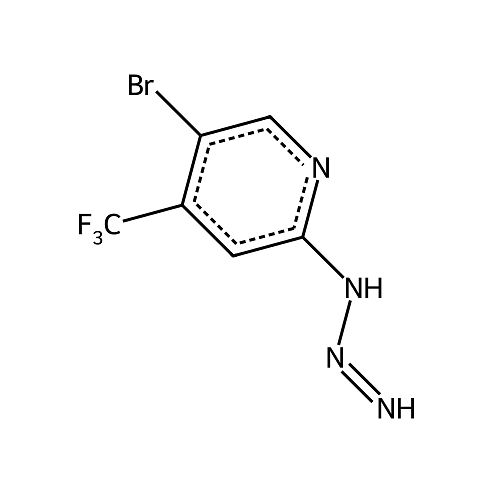 N=NNc1cc(C(F)(F)F)c(Br)cn1